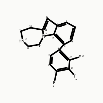 Fc1ccc(-c2cccc3cc4n(c23)CCNCC4)c(F)c1F